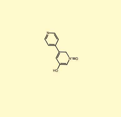 O=[N+]1C=C(O)C=C(c2ccncc2)C1